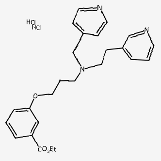 CCOC(=O)c1cccc(OCCCN(CCc2cccnc2)Cc2ccncc2)c1.Cl.Cl